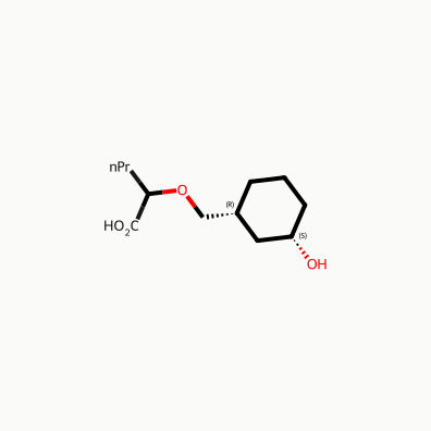 CCCC(OC[C@@H]1CCC[C@H](O)C1)C(=O)O